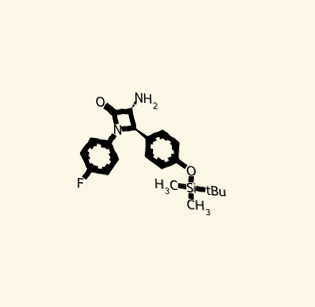 CC(C)(C)[Si](C)(C)Oc1ccc([C@@H]2[C@@H](N)C(=O)N2c2ccc(F)cc2)cc1